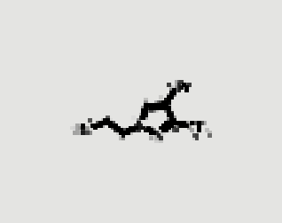 CC(C)c1cn(CCC(C)(C)C)nc1C(F)(F)F